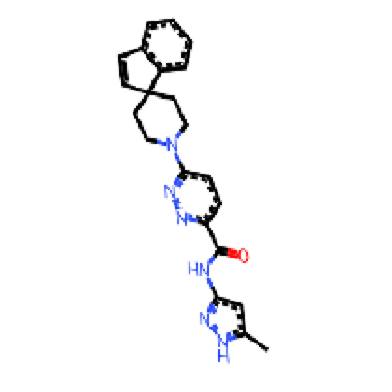 Cc1cc(NC(=O)c2ccc(N3CCC4(C=Cc5ccccc54)CC3)nn2)n[nH]1